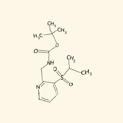 CC(C)S(=O)(=O)c1cccnc1CNC(=O)OC(C)(C)C